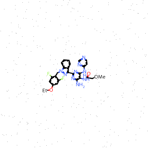 CCOc1cc(F)c(Cn2nc(-c3nc(N)c(NC(=O)COC)c(Nc4ccncn4)n3)c3ccccc32)c(F)c1